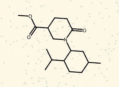 COC(=O)C1CCC(=O)N(C2CC(C)CCC2C(C)C)C1